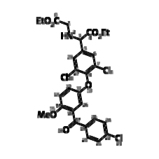 CCOC(=O)CNC(C(=O)OCC)c1cc(Cl)c(Oc2ccc(OC)c(C(=O)c3ccc(Cl)cc3)c2)c(Cl)c1